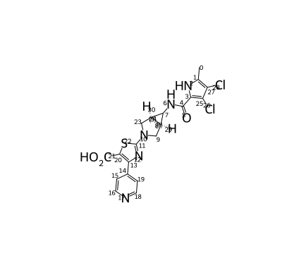 Cc1[nH]c(C(=O)NC2[C@H]3CN(c4nc(-c5ccncc5)c(C(=O)O)s4)C[C@@H]23)c(Cl)c1Cl